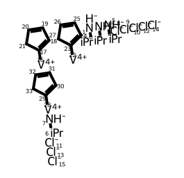 CC(C)[NH-].CC(C)[NH-].CC(C)[NH-].CC(C)[NH-].[Cl-].[Cl-].[Cl-].[Cl-].[Cl-].[Cl-].[Cl-].[Cl-].[V+4][C]1=CC=CC1.[V+4][C]1=CC=CC1.[V+4][C]1=CC=CC1